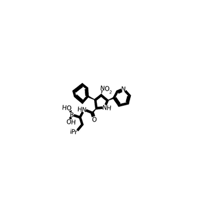 CC(C)CC(NC(=O)[C@@H]1N[C@H](c2cccnc2)[C@@H]([N+](=O)[O-])[C@@H]1c1ccccc1)B(O)O